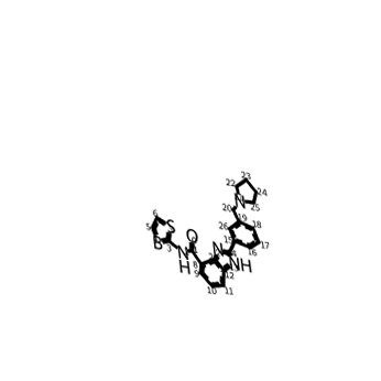 O=C(Nc1bccs1)c1cccc2[nH]c(-c3cccc(CN4CCCC4)c3)nc12